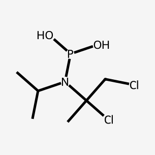 CC(C)N(P(O)O)C(C)(Cl)CCl